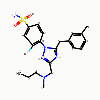 Cc1cccc(Cc2nc(CN(C)CCC#N)nn2-c2ccc(S(N)(=O)=O)cc2F)c1